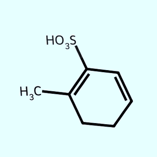 CC1=C(S(=O)(=O)O)C=CCC1